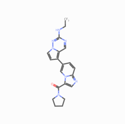 O=C(c1cnc2ccc(-c3ccn4nc(NCC(F)(F)F)ncc34)cn12)N1CCCC1